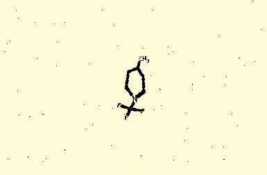 CC1CCN(C(F)(F)F)CC1